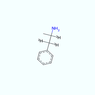 [2H]C(C)(N)C([2H])([2H])c1ccccc1